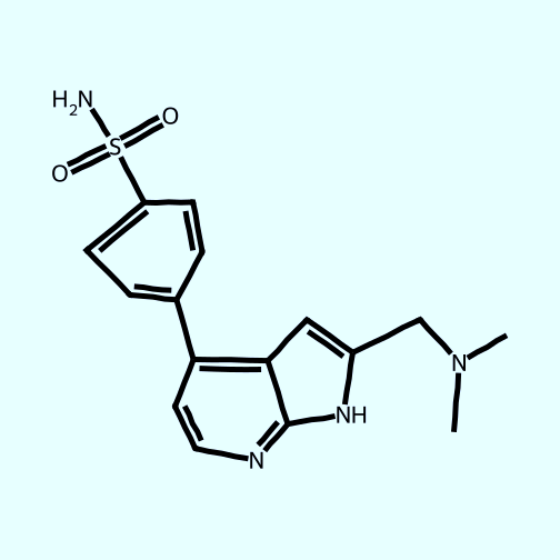 CN(C)Cc1cc2c(-c3ccc(S(N)(=O)=O)cc3)ccnc2[nH]1